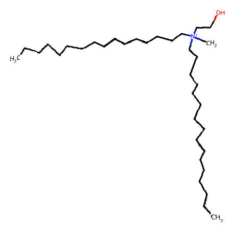 CCCCCCCCCCCCCCCC[N+](C)(CCO)CCCCCCCCCCCCCCCC